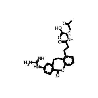 CC(=O)C[C@H](NC(=O)CCc1cccc2c1CCc1cc(NC(=N)N)ccc1C(=O)O2)C(=O)O